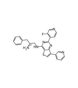 N[C@H](CNc1nc(-c2ccncc2F)nc2c(-c3cccnc3)csc12)Cc1ccccc1